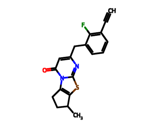 C#Cc1cccc(Cc2cc(=O)n3c4c(sc3n2)C(C)CC4)c1F